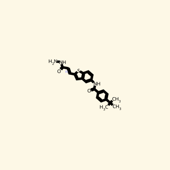 CC(C)(C)c1ccc(C(=O)Nc2ccc3sc(/C=C/C(=O)NN)cc3c2)cc1